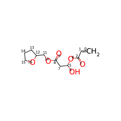 C=CC(=O)OC(O)CC(=O)OCC1CCCO1